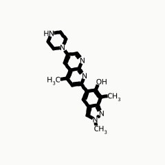 Cc1cc(-c2cc3cn(C)nc3c(C)c2O)nc2ncc(N3CCNCC3)cc12